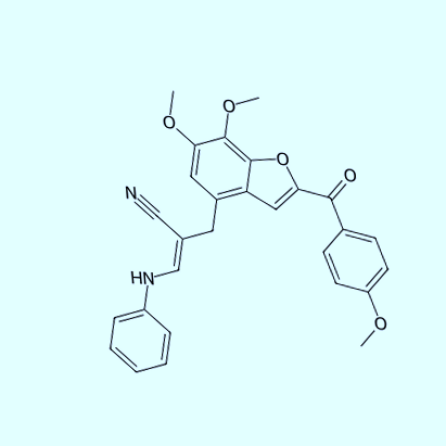 COc1ccc(C(=O)c2cc3c(CC(C#N)=CNc4ccccc4)cc(OC)c(OC)c3o2)cc1